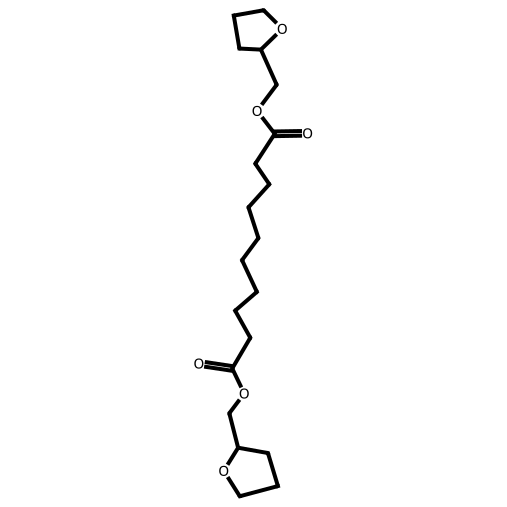 O=C(CCCCCCCCC(=O)OCC1CCCO1)OCC1CCCO1